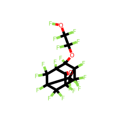 O=C1C2(F)C(F)(F)C3(F)C(F)(F)C1(F)C(F)(OC(F)(F)C(F)(F)OF)C(F)(C2(F)F)C3(F)F